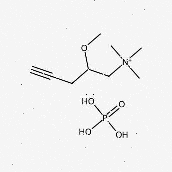 C#CCC(C[N+](C)(C)C)OC.O=P(O)(O)O